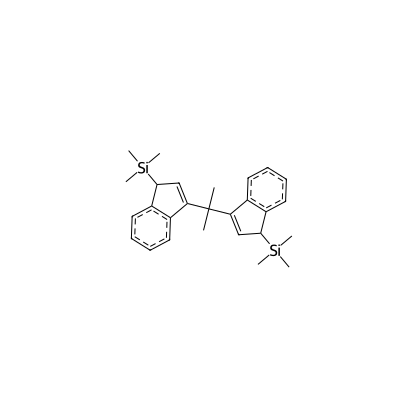 CC(C)(C1=CC([Si](C)(C)C)c2ccccc21)C1=CC([Si](C)(C)C)c2ccccc21